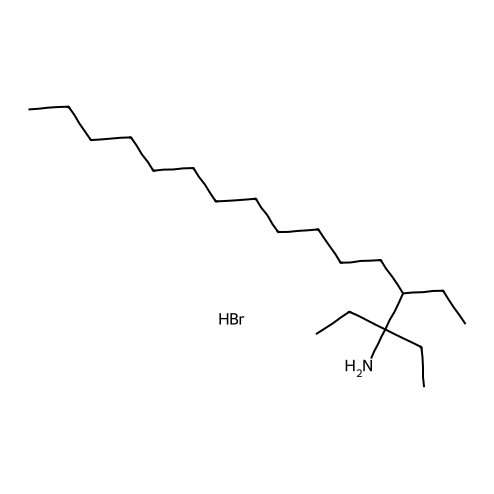 Br.CCCCCCCCCCCCC(CC)C(N)(CC)CC